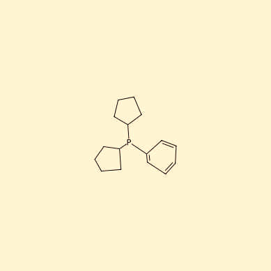 c1ccc(P(C2CCCC2)C2CCCC2)cc1